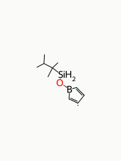 CC(C)C(C)(C)[SiH2]OB1C=[C]C=C1